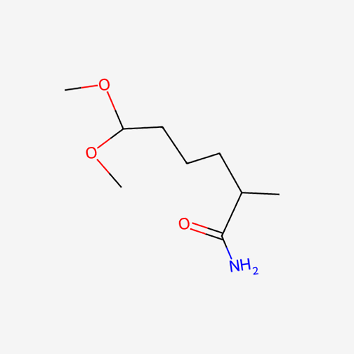 COC(CCCC(C)C(N)=O)OC